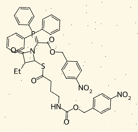 CCC1C(=O)N(C(C(=O)OCc2ccc([N+](=O)[O-])cc2)=P(c2ccccc2)(c2ccccc2)c2ccccc2)C1SC(=O)CCCNC(=O)OCc1ccc([N+](=O)[O-])cc1